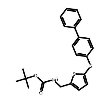 CC(C)(C)OC(=O)NCc1ccc(Sc2ccc(-c3ccccc3)cc2)s1